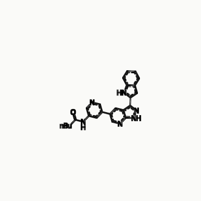 CCCCC(=O)Nc1cncc(-c2cnc3[nH]nc(-c4cc5ccccc5[nH]4)c3c2)c1